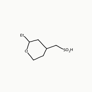 CCC1CC(CS(=O)(=O)O)CCO1